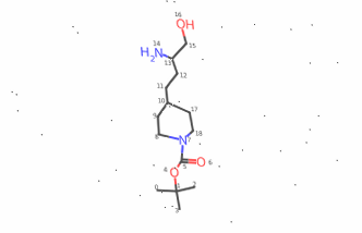 CC(C)(C)OC(=O)N1CCC(CCC(N)CO)CC1